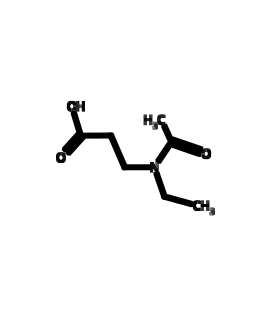 CCN(CCC(=O)O)C(C)=O